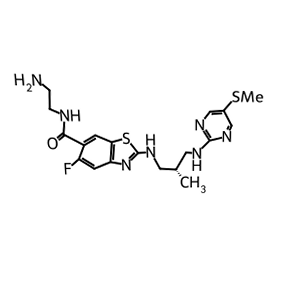 CSc1cnc(NC[C@H](C)CNc2nc3cc(F)c(C(=O)NCCN)cc3s2)nc1